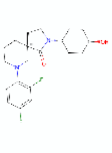 O=C1N([C@H]2CC[C@H](O)CC2)CC[C@@]12CCCN(c1ccc(F)cc1F)C2